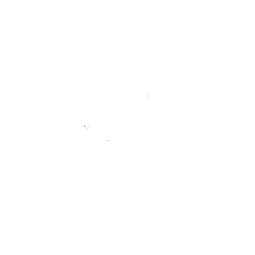 COC(=O)c1c(O)c(Cl)cc(Br)c1Cl